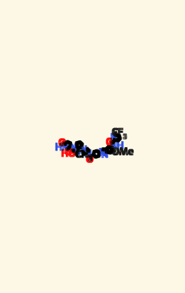 COc1cc2nn([C@H]3CC[C@H](C(=O)N4CCN(c5cccc6c5N(C)C(O)N6C5CCC(=O)NC5=O)CC4)CC3)cc2cc1NC(=O)c1cccc(C(F)(F)F)n1